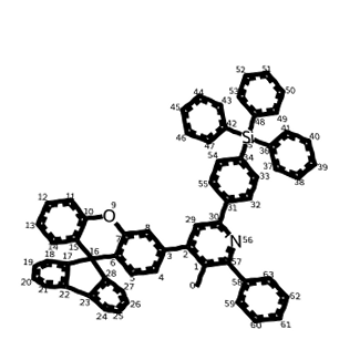 Cc1c(-c2ccc3c(c2)Oc2ccccc2C32c3ccccc3-c3ccccc32)cc(-c2ccc([Si](c3ccccc3)(c3ccccc3)c3ccccc3)cc2)nc1-c1ccccc1